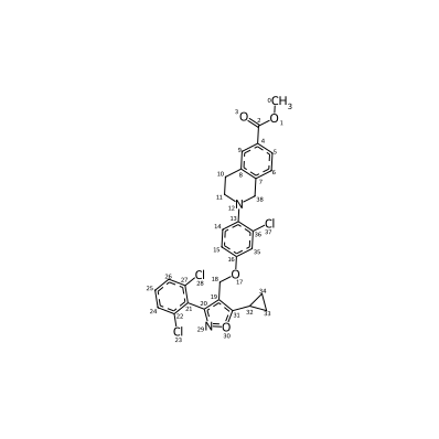 COC(=O)c1ccc2c(c1)CCN(c1ccc(OCc3c(-c4c(Cl)cccc4Cl)noc3C3CC3)cc1Cl)C2